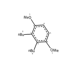 CCCCc1c(OC)ccc(OC)c1CCCC